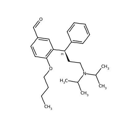 CCCCOc1ccc(C=O)cc1[C@H](CCN(C(C)C)C(C)C)c1ccccc1